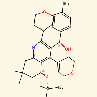 CC1(C)Cc2nc(C3CCOCC3)c([C@H](O)c3ccc(C(C)(C)C)cc3)c(C3=CCOCC3)c2[C@@H](O[Si](C)(C)C(C)(C)C)C1